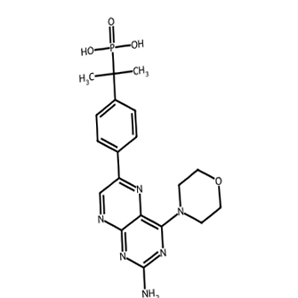 CC(C)(c1ccc(-c2cnc3nc(N)nc(N4CCOCC4)c3n2)cc1)P(=O)(O)O